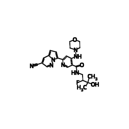 CC(C)(O)C(F)CNC(=O)c1cnc(-c2ccc3cc(C#N)cnn23)cc1NN1CCOCC1